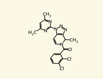 Cc1cc(C)nc(-n2nnc3c2C=CN(C(=O)c2cccc(Cl)c2Cl)C3C)n1